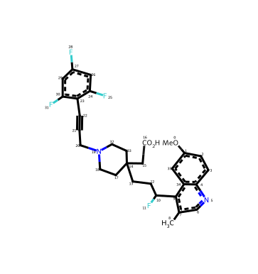 COc1ccc2ncc(C)c(C(F)CCC3(CC(=O)O)CCN(CC#Cc4c(F)cc(F)cc4F)CC3)c2c1